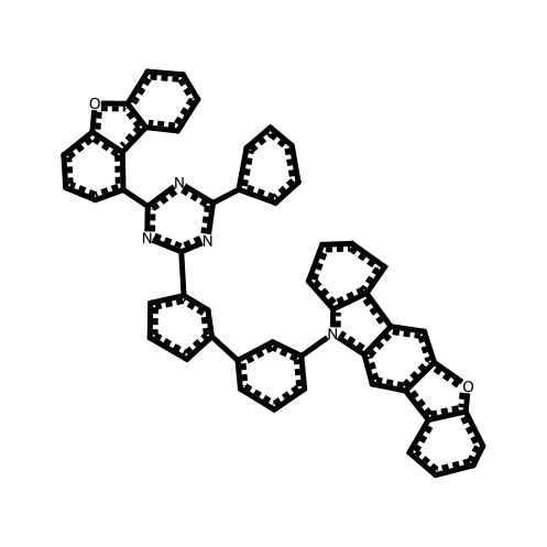 c1ccc(-c2nc(-c3cccc(-c4cccc(-n5c6ccccc6c6cc7oc8ccccc8c7cc65)c4)c3)nc(-c3cccc4oc5ccccc5c34)n2)cc1